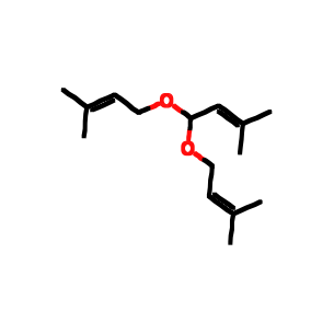 CC(C)=CCOC(C=C(C)C)OCC=C(C)C